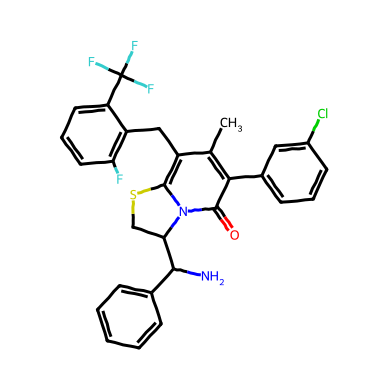 Cc1c(Cc2c(F)cccc2C(F)(F)F)c2n(c(=O)c1-c1cccc(Cl)c1)C(C(N)c1ccccc1)CS2